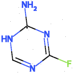 N[C]1N=C(F)N=CN1